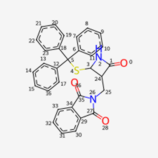 O=C1NC(SC(c2ccccc2)(c2ccccc2)c2ccccc2)C1CN1C(=O)c2ccccc2C1=O